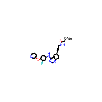 COCC(=O)NCC#Cc1ccc2ncnc(Nc3ccc(Oc4cccnc4)c(F)c3)c2c1